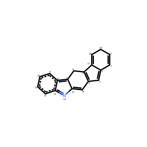 C1=CC2=CC3=C(CC4=c5ccccc5=NC4=C3)C2=CC1